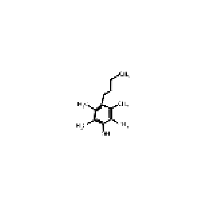 CCCCc1c(C)c(C)c(O)c(C)c1C